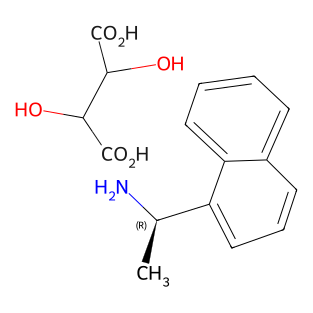 C[C@@H](N)c1cccc2ccccc12.O=C(O)C(O)C(O)C(=O)O